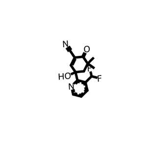 CC1(C)CC(O)(c2ncccc2C(F)F)C=C(C#N)C1=O